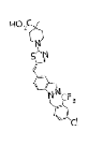 CC1(C(=O)O)CCN(C2=NCC(=Cc3ccc4c(cnn4Cc4ccc(Cl)cc4C(F)(F)F)c3)S2)CC1